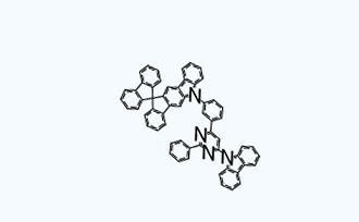 c1ccc(-c2nc(-c3cccc(-n4c5ccccc5c5cc6c(cc54)-c4ccccc4C64c5ccccc5-c5ccccc54)c3)cc(-n3c4ccccc4c4ccccc43)n2)cc1